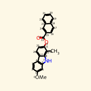 COc1ccc2c(c1)[nH]c1c(C)c(OC(=O)c3ccc4ccccc4c3)ccc12